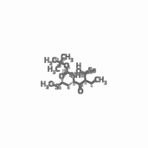 CCC(C(=O)[C@H](CCSC)NC(=O)OC(C)(C)C)C(O)=[Se]